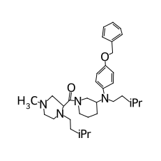 CC(C)CCN1CCN(C)CC1C(=O)N1CCCC(N(CCC(C)C)c2ccc(OCc3ccccc3)cc2)C1